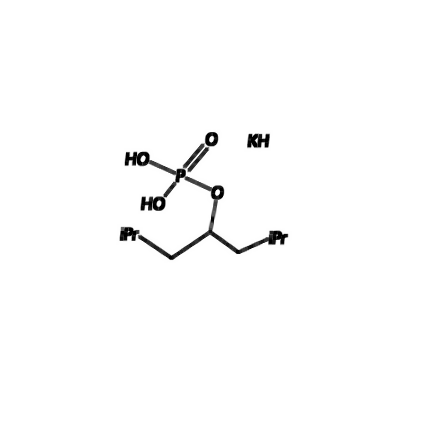 CC(C)CC(CC(C)C)OP(=O)(O)O.[KH]